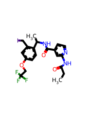 CCC(=O)Nc1cc(C(=O)NC(C)c2ccc(OCC(F)(F)F)cc2CI)ccn1